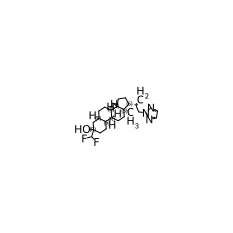 C=C(Cn1nccn1)[C@H]1CC[C@H]2[C@@H]3CC[C@@H]4C[C@@](O)(C(F)F)CC[C@@H]4[C@H]3CC[C@]12C